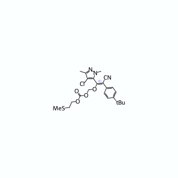 CSCCOC(=O)OCO/C(=C(/C#N)c1ccc(C(C)(C)C)cc1)c1c(Cl)c(C)nn1C